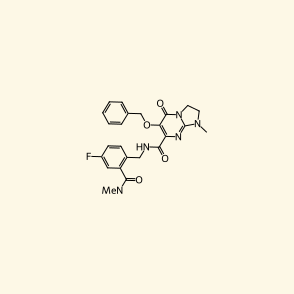 CNC(=O)c1cc(F)ccc1CNC(=O)c1nc2n(c(=O)c1OCc1ccccc1)CCN2C